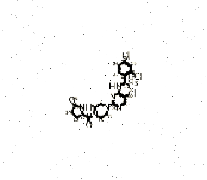 C[C@@H](Nc1nc(N2CCN(C(=O)C3CCC(=O)N3)CC2)ncc1Cl)c1ccc(Cl)cc1Cl